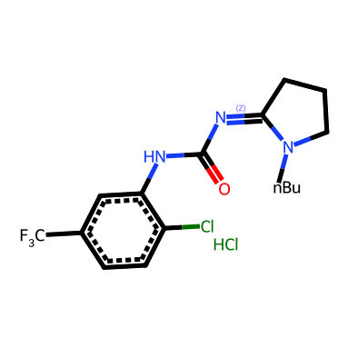 CCCCN1CCC/C1=N/C(=O)Nc1cc(C(F)(F)F)ccc1Cl.Cl